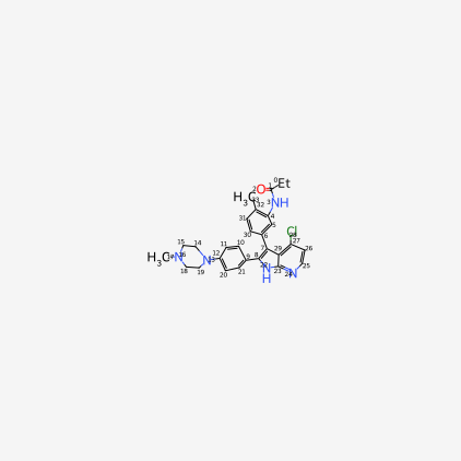 CCC(=O)Nc1cc(-c2c(-c3ccc(N4CCN(C)CC4)cc3)[nH]c3nccc(Cl)c23)ccc1C